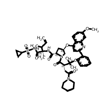 C=CC(C)[C@@](C)(NC(=O)[C@@H]1C[C@@H](Oc2cc(-c3ccccc3)nc3cc(OC)ccc23)CN1C(=O)[C@@H](CC(=O)N1CCCCC1)C(C)(C)C)C(=O)NS(=O)(=O)C1CC1